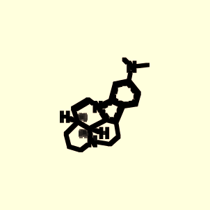 CN(C)c1ccc2c3c4n(c2c1)C=C[C@H]1CCCN(CC3)[C@@H]41